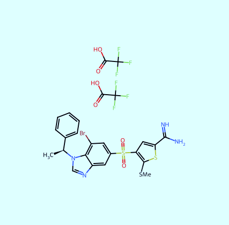 CSc1sc(C(=N)N)cc1S(=O)(=O)c1cc(Br)c2c(c1)ncn2[C@@H](C)c1ccccc1.O=C(O)C(F)(F)F.O=C(O)C(F)(F)F